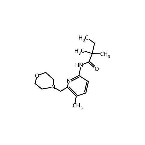 CCC(C)(C)C(=O)Nc1ccc(C)c(CN2CCOCC2)n1